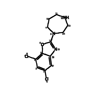 Clc1cc(Cl)c2oc(N3CCCNCC3)nc2c1